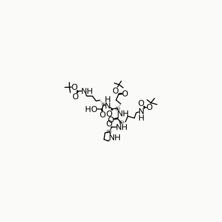 CC(C)(C)OC(=O)CC[C@H](NC(=O)[C@H](CCCCNC(=O)OC(C)(C)C)NC(=O)[C@@H]1CCCN1)C(=O)N[C@@H](CCCCNC(=O)OC(C)(C)C)C(=O)O